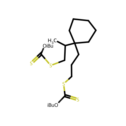 CC(C)COC(=S)SCCCC1(C(C)CSC(=S)OCC(C)C)CCCCC1